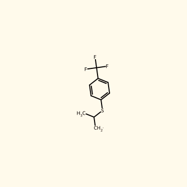 [CH2]C(C)Sc1ccc(C(F)(F)F)cc1